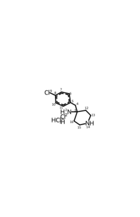 Cl.Cl.NC1(Cc2ccc(Cl)cc2)CCNCC1